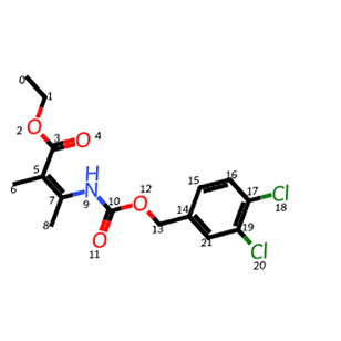 CCOC(=O)C(C)=C(C)NC(=O)OCc1ccc(Cl)c(Cl)c1